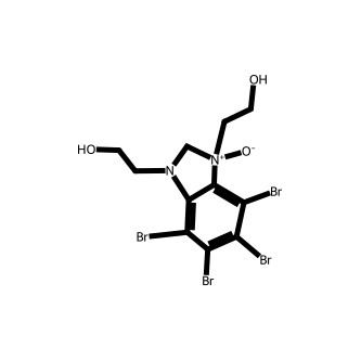 [O-][N+]1(CCO)CN(CCO)c2c(Br)c(Br)c(Br)c(Br)c21